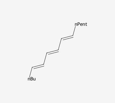 [CH2]CCCC=CC=CC=CCCCCC